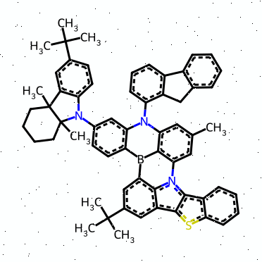 Cc1cc2c3c(c1)-n1c4c(cc(C(C)(C)C)cc4c4sc5ccccc5c41)B3c1ccc(N3c4ccc(C(C)(C)C)cc4C4(C)CCCCC34C)cc1N2c1cccc2c1Cc1ccccc1-2